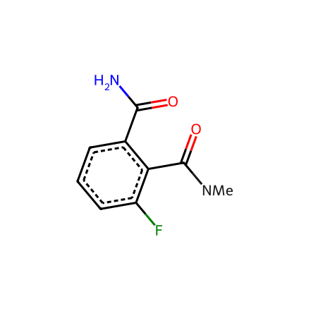 CNC(=O)c1c(F)cccc1C(N)=O